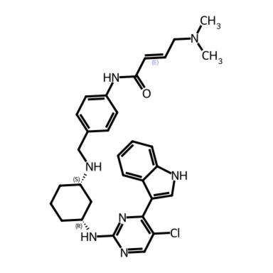 CN(C)C/C=C/C(=O)Nc1ccc(CN[C@H]2CCC[C@@H](Nc3ncc(Cl)c(-c4c[nH]c5ccccc45)n3)C2)cc1